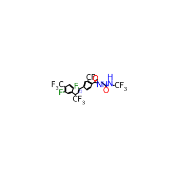 O=C(CNC(=O)c1ccc(/C(F)=C/C(c2ccc(C(F)(F)F)c(F)c2)C(F)(F)F)cc1C(F)(F)F)NCC(F)(F)F